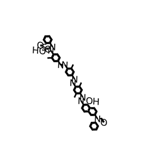 Cc1cc(N=Nc2cc(C)c(N=Nc3ccc4cc(N(C=O)c5ccccc5)ccc4c3O)cc2C)ccc1N=Nc1ccc(N=Nc2ccccc2S(=O)(=O)O)c(C)c1